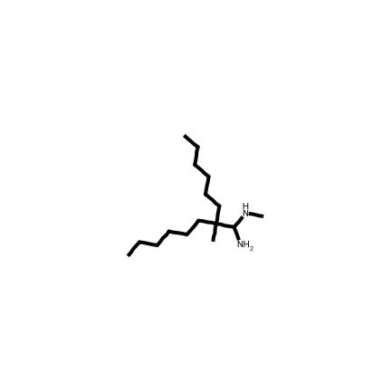 CCCCCCC(C)(CCCCCC)C(N)NC